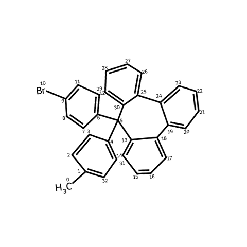 Cc1ccc(C2(c3ccc(Br)cc3)c3ccccc3-c3ccccc3-c3ccccc32)cc1